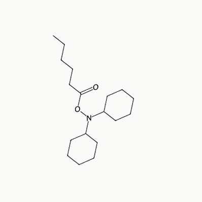 CCCCCC(=O)ON(C1CCCCC1)C1CCCCC1